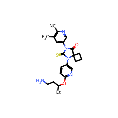 CCC(CCN)Oc1ccc(N2C(=S)N(c3cnc(C#N)c(C(F)(F)F)c3)C(=O)C23CCC3)cn1